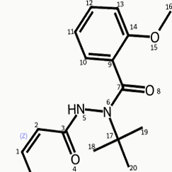 C/C=C\C(=O)NN(C(=O)c1ccccc1OC)C(C)(C)C